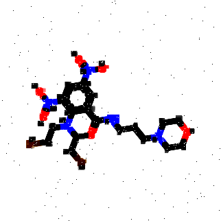 O=C(NCCCN1CCOCC1)c1cc([N+](=O)[O-])cc([N+](=O)[O-])c1N(CCBr)CCBr